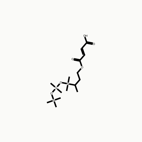 CC(CCOC(=O)C=CC(=O)O)[Si](C)(C)O[Si](C)(C)O[Si](C)(C)C